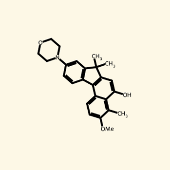 COc1ccc2c3c(cc(O)c2c1C)C(C)(C)c1cc(N2CCOCC2)ccc1-3